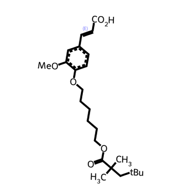 COc1cc(/C=C/C(=O)O)ccc1OCCCCCCOC(=O)C(C)(C)CC(C)(C)C